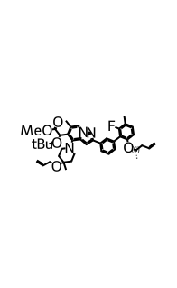 C=CCOC1(C)CCN(c2c(C(OC(C)(C)C)C(=O)OC)c(C)cn3nc(-c4cccc(-c5c(O[C@@H](C)CC=C)ccc(C)c5F)c4)cc23)CC1